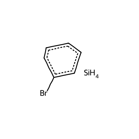 Brc1ccccc1.[SiH4]